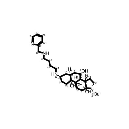 CC[C@@H](C)[C@H]1CC[C@H]2[C@@H]3[C@H](O)C[C@@H]4C[C@H](NCCCCNCc5ccccn5)CC[C@]4(C)[C@H]3CC[C@]12C